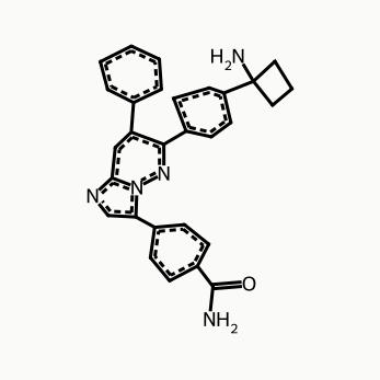 NC(=O)c1ccc(-c2cnc3cc(-c4ccccc4)c(-c4ccc(C5(N)CCC5)cc4)nn23)cc1